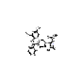 COc1cc(Br)ccc1O[C@@H](c1ccccc1)[C@@H]1CNCCO1.O=C(O)/C=C/C(=O)O